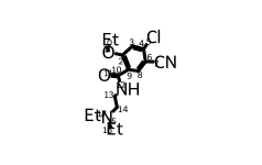 CCOc1cc(Cl)c(C#N)cc1C(=O)NCCN(CC)CC